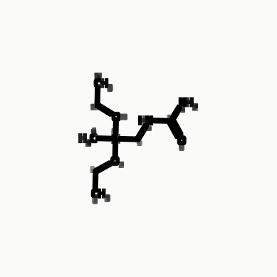 CCO[Si](C)(CNC(N)=O)OCC